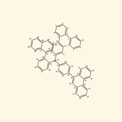 c1ccc(-c2ccccc2-c2ccc(N(c3ccc(-c4cc5ccccc5c5ccccc45)cc3)c3ccccc3-c3cccc4ccccc34)cc2)cc1